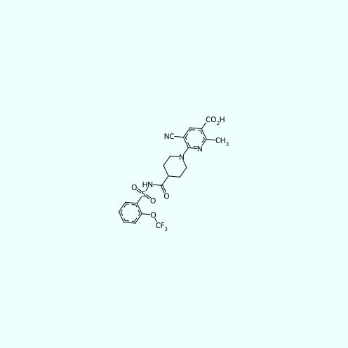 Cc1nc(N2CCC(C(=O)NS(=O)(=O)c3ccccc3OC(F)(F)F)CC2)c(C#N)cc1C(=O)O